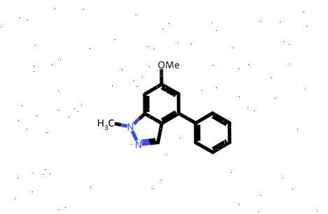 COc1cc(-c2ccccc2)c2cnn(C)c2c1